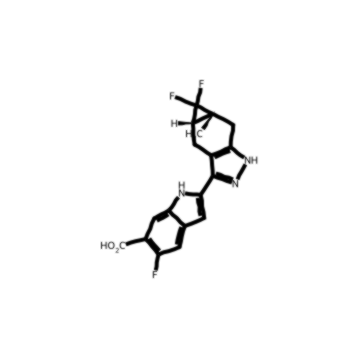 C[C@@]12Cc3[nH]nc(-c4cc5cc(F)c(C(=O)O)cc5[nH]4)c3C[C@@H]1C2(F)F